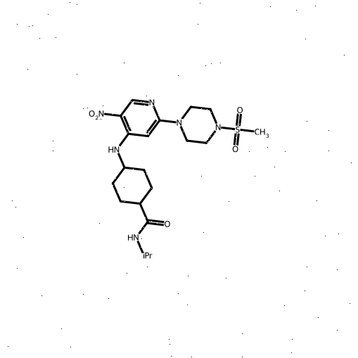 CC(C)NC(=O)C1CCC(Nc2cc(N3CCN(S(C)(=O)=O)CC3)ncc2[N+](=O)[O-])CC1